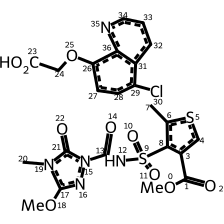 COC(=O)c1csc(C)c1S(=O)(=O)NC(=O)n1nc(OC)n(C)c1=O.O=C(O)COc1ccc(Cl)c2cccnc12